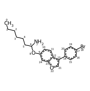 CCCCCCC(N)Oc1ccc2c(-c3ccc(Br)cc3)coc2c1